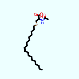 CCCCCCCCC/C=C\CCCCCCCCSCC(NC(C)=O)C(=O)O